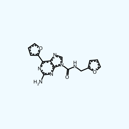 Nc1nc(-c2ccco2)c2ncn(C(=O)NCc3ccco3)c2n1